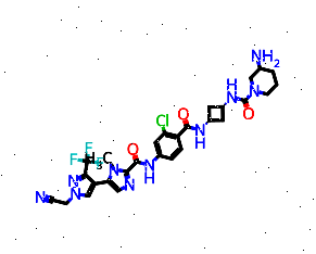 Cn1c(-c2cn(CC#N)nc2C(F)(F)F)cnc1C(=O)Nc1ccc(C(=O)N[C@H]2C[C@@H](NC(=O)N3CCCC(N)C3)C2)c(Cl)c1